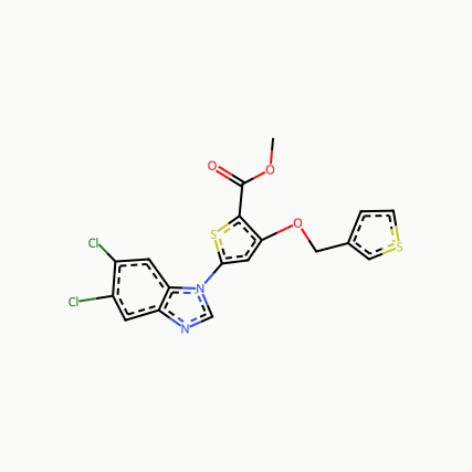 COC(=O)c1sc(-n2cnc3cc(Cl)c(Cl)cc32)cc1OCc1ccsc1